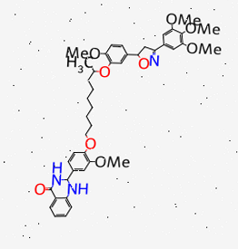 COc1cc(C2NC(=O)c3ccccc3N2)ccc1OCCCCCCCC(C)Oc1cc(C2CC(c3cc(OC)c(OC)c(OC)c3)=NO2)ccc1OC